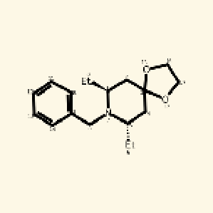 CC[C@H]1CC2(C[C@H](CC)N1Cc1ccccc1)OCCO2